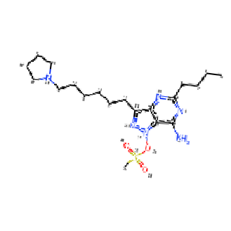 CCCCc1nc(N)c2c(n1)c(CCCCCCN1CCCC1)nn2OS(C)(=O)=O